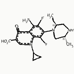 C[C@@H]1CN(c2c(F)c(N)c3c(=O)c(C(=O)O)cn(C4CC4)c3c2F)[C@@H](C)CN1